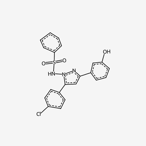 O=S(=O)(Nn1nc(-c2cccc(O)c2)cc1-c1ccc(Cl)cc1)c1ccccc1